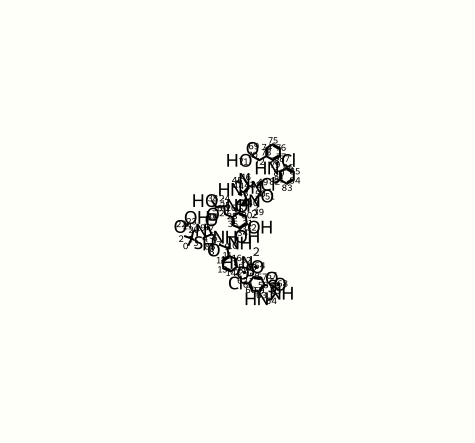 CC1(C)S[C@@H]2[C@H](NC(=O)[C@H](N)c3ccccc3)C(=O)N2[C@H]1C(=O)O.C[C@](N)(Cc1ccc(O)c(O)c1)C(=O)O.Cn1c(=O)c2[nH]cnc2n(C)c1=O.NS(=O)(=O)c1cc2c(cc1Cl)NCNS2(=O)=O.O=C(O)Cc1ccccc1Nc1c(Cl)cccc1Cl